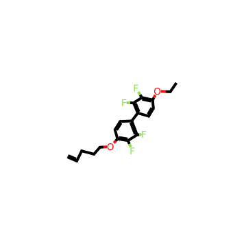 C=CCCCOc1ccc(-c2ccc(OCC)c(F)c2F)c(F)c1F